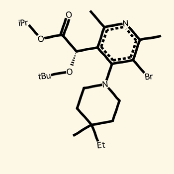 CCC1(C)CCN(c2c(Br)c(C)nc(C)c2[C@H](OC(C)(C)C)C(=O)OC(C)C)CC1